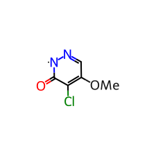 COC1=C(Cl)C(=O)[N]N=C1